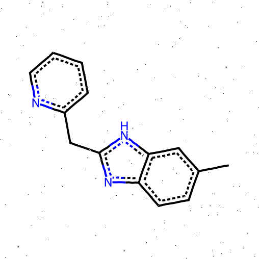 Cc1ccc2nc(Cc3ccccn3)[nH]c2c1